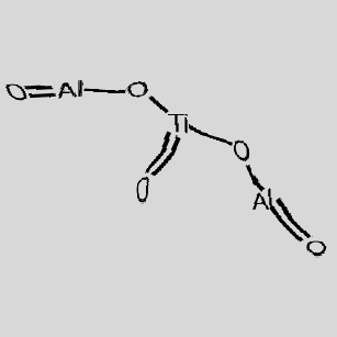 [O]=[Al][O][Ti](=[O])[O][Al]=[O]